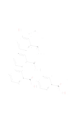 O=C(O)c1ccccc1.O=C(O)c1ccccc1.O=C(O)c1ccccc1.O=C(O)c1ccccc1.OCCO